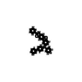 c1ccc(-c2ccc(N(c3ccccc3)c3ccc4oc5cc6nc(-c7ccccc7)oc6cc5c4c3)cc2)cc1